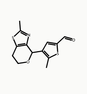 Cc1nc2c(s1)CCOC2c1cc(C=O)sc1C